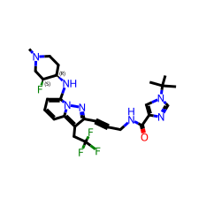 CN1CC[C@@H](Nc2cccc3c(CC(F)(F)F)c(C#CCNC(=O)c4cn(C(C)(C)C)cn4)nn23)[C@@H](F)C1